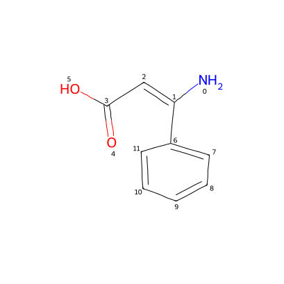 N/C(=C/C(=O)O)c1ccccc1